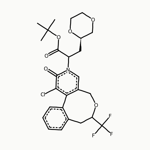 CC(C)(C)OC(=O)C(C[C@@H]1COCCO1)n1cc2c(c(Cl)c1=O)-c1ccccc1CC(C(F)(F)F)OC2